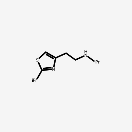 CC(C)NCCc1csc(C(C)C)n1